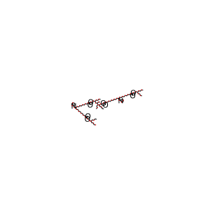 CCCCC(CCCC)CCOC(=O)CCCCCCCCCC(CCCCCCCCCC(=O)OCCC(CCCC)CC(CC)C(CCC)C(CCCC)CCOC(=O)CCCCCCCCCC(CCCCCCCCCC(=O)OCCC(CCCC)CCCC)CN1CCCC1)CN1CCCCC1